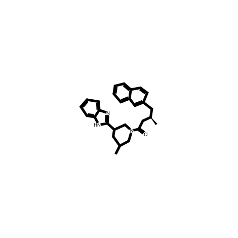 CC1CC(c2nc3ccccc3[nH]2)CN(C(=O)C[C@H](C)Cc2ccc3ccccc3c2)C1